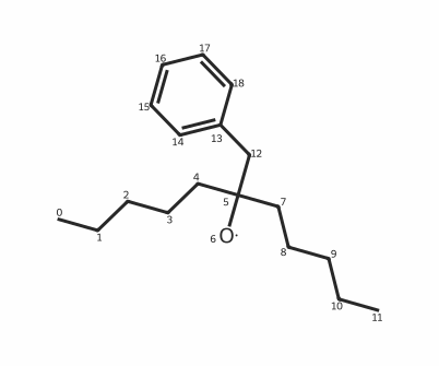 CCCCCC([O])(CCCCC)Cc1ccccc1